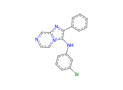 Brc1cccc(Nc2c(-c3ccccc3)nc3cnccn23)c1